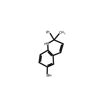 CC(C)C1(C)C=Cc2cc(C(C)(C)C)ccc2N1